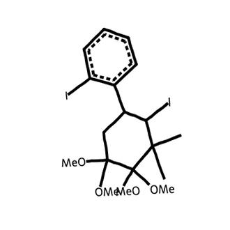 COC1(OC)CC(c2ccccc2I)C(I)C(C)(C)C1(OC)OC